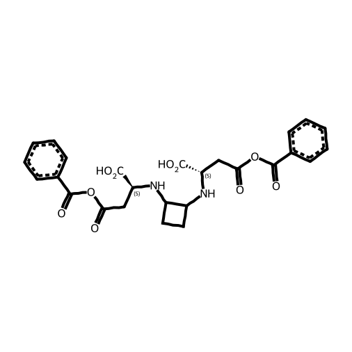 O=C(C[C@H](NC1CCC1N[C@@H](CC(=O)OC(=O)c1ccccc1)C(=O)O)C(=O)O)OC(=O)c1ccccc1